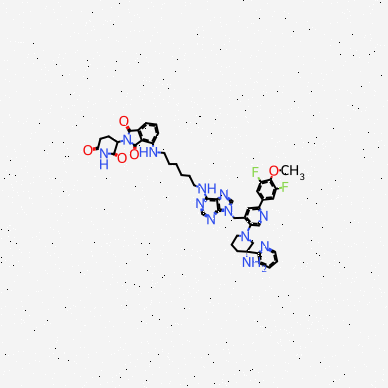 COc1c(F)cc(-c2cc(Cn3cnc4c(NCCCCCCNc5cccc6c5C(=O)N(C5CCC(=O)NC5=O)C6=O)ncnc43)c(N3CCC[C@](N)(c4ccccn4)C3)cn2)cc1F